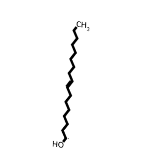 CCCCCCCC/C=C/CCCCCC[CH]O